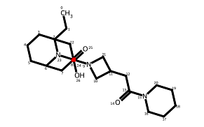 CCC12CCCC(CC(N3CC(CC(=O)N4CCCCC4)C3)C1)N2C(=O)O